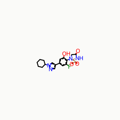 O=C1CN(c2c(O)cc(-c3cnn(C4CCCCC4)c3)cc2F)S(=O)(=O)N1